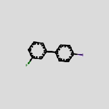 Fc1cc[c]c(-c2ccc(I)cc2)c1